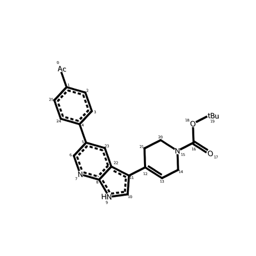 CC(=O)c1ccc(-c2cnc3[nH]cc(C4=CCN(C(=O)OC(C)(C)C)CC4)c3c2)cc1